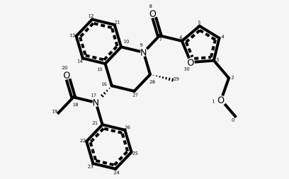 COCc1ccc(C(=O)N2c3ccccc3[C@@H](N(C(C)=O)c3ccccc3)C[C@H]2C)o1